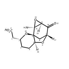 O=C(O)C[C@H]1CC[C@@H]2O[C@@H]3C[C@@]2(O1)[C@H]1O[C@H]1C3=O